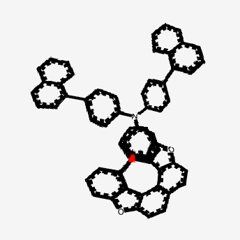 c1cc(-c2cccc3oc4ccc5ccc6oc7ccccc7c6c5c4c23)cc(N(c2ccc(-c3cccc4ccccc34)cc2)c2ccc(-c3cccc4ccccc34)cc2)c1